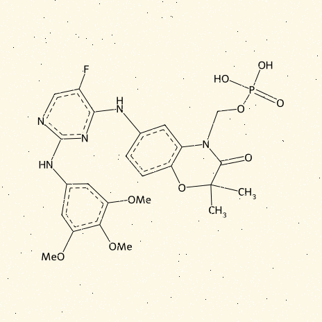 COc1cc(Nc2ncc(F)c(Nc3ccc4c(c3)N(COP(=O)(O)O)C(=O)C(C)(C)O4)n2)cc(OC)c1OC